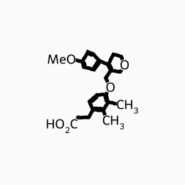 COc1ccc(C2=C(COc3ccc(CCC(=O)O)c(C)c3C)COCC2)cc1